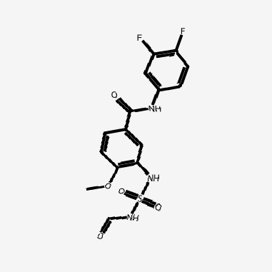 COc1ccc(C(=O)Nc2ccc(F)c(F)c2)cc1NS(=O)(=O)NC=O